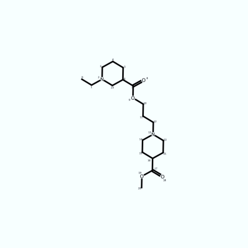 CCN1CCCC(C(=O)OCCCN2CCC(C(=O)OC)CC2)C1